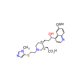 COc1ccc2nccc(C(O)CC[C@@H]3CCN(CCSc4cncn4C)C[C@@H]3CC(=O)O)c2c1